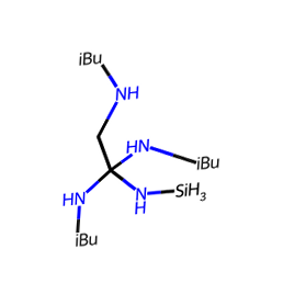 CCC(C)NCC(N[SiH3])(NC(C)CC)NC(C)CC